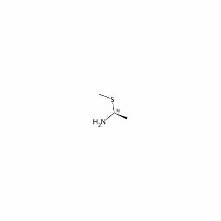 CS[C@@H](C)N